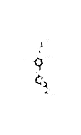 COCCOCOc1c(OC)cc(COc2ccc3nc(NC(=O)OC)cn3n2)cc1OC